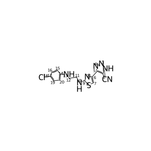 N#Cc1[nH]nnc1-c1csc(NCCNc2ccc(Cl)cc2)n1